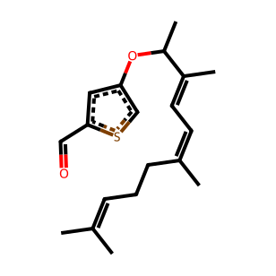 CC(C)=CCCC(C)=CC=C(C)C(C)Oc1csc(C=O)c1